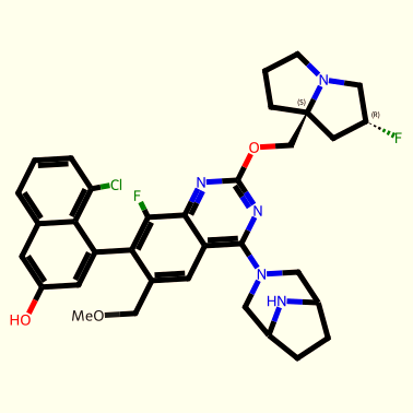 COCc1cc2c(N3CC4CCC(C3)N4)nc(OC[C@@]34CCCN3C[C@H](F)C4)nc2c(F)c1-c1cc(O)cc2cccc(Cl)c12